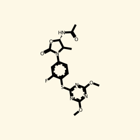 COc1nc(OC)nc(Sc2ccc(N3C(=O)O[C@H](NC(C)=O)C3C)cc2F)n1